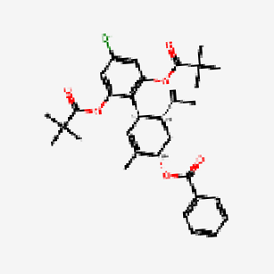 C=C(C)[C@@H]1C[C@H](OC(=O)c2ccccc2)C(C)=C[C@H]1c1c(OC(=O)C(C)(C)C)cc(Br)cc1OC(=O)C(C)(C)C